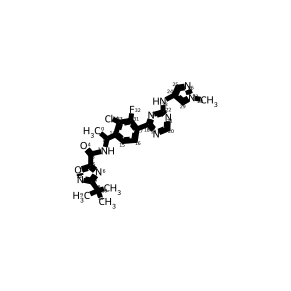 CC(NC(=O)c1nc(C(C)(C)C)no1)c1ccc(-c2ncnc(Nc3cnn(C)c3)n2)c(F)c1Cl